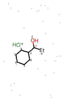 CCC(O)C1CCCCC1.Cl